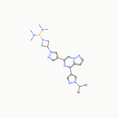 CCC(CC)n1cc(-c2nc(-c3cnn(C4CN(P(N(C)C)N(C)C)C4)c3)cn3nccc23)cn1